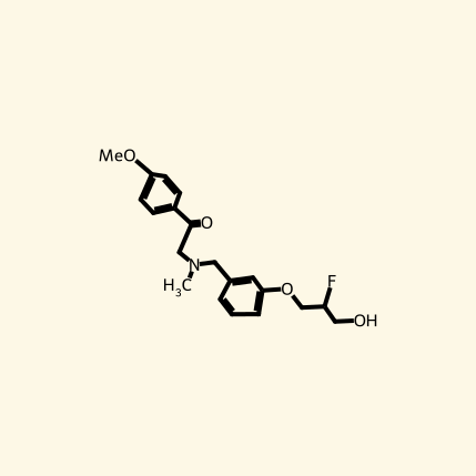 COc1ccc(C(=O)CN(C)Cc2cccc(OCC(F)CO)c2)cc1